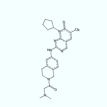 CN(C)CC(=O)N1CCc2cc(Nc3ncc4cc(C#N)c(=O)n(C5CCCC5)c4n3)ccc2C1